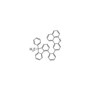 CC1(c2ccccc2)c2ccccc2-c2c(-c3ccccc3-c3ccc4c(c3)-c3cccc5cccc(c35)S4)cccc21